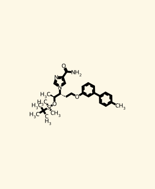 Cc1ccc(-c2cccc(OCC[C@H]([C@H](C)O[Si](C)(C)C(C)(C)C)n3cnc(C(N)=O)c3)c2)cc1